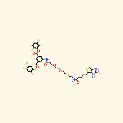 CN(CCOCCOCCOCCC(=O)Nc1cc(C(=O)Oc2c(F)c(F)cc(F)c2F)cc(C(=O)Oc2c(F)c(F)cc(F)c2F)c1)C(=O)CCCCC1SCC2NC(=O)NC21